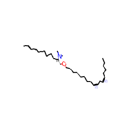 CCCCC/C=C\C/C=C\CCCCCCCCOC[C@H](CCCCCCCCC)N(C)C